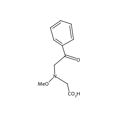 CON(CC(=O)O)CC(=O)c1ccccc1